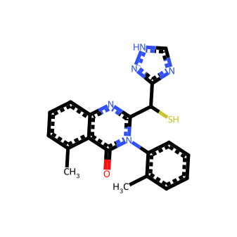 Cc1ccccc1-n1c(C(S)c2nc[nH]n2)nc2cccc(C)c2c1=O